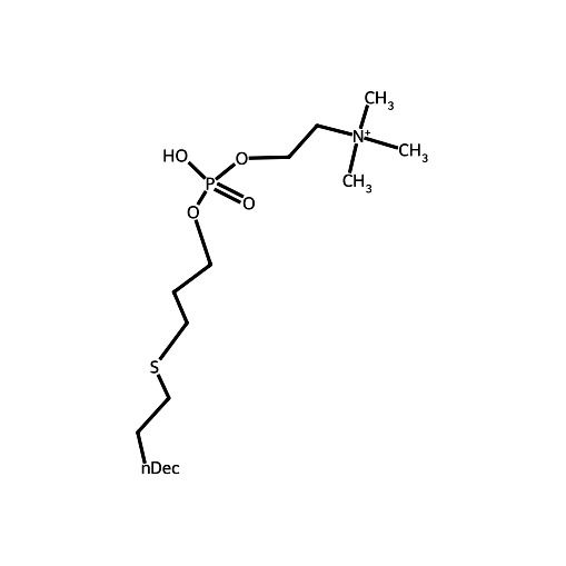 CCCCCCCCCCCCSCCCOP(=O)(O)OCC[N+](C)(C)C